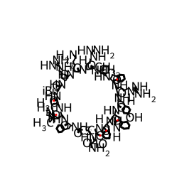 CC[C@H](C)C1NC(=O)C(C)(C)NC(=O)C(Cc2cncn2C)NC(=O)C(Cc2ccccc2)NC(=O)CSCC(C(=O)NCC(N)=O)NC(=O)C(Cc2ccc(O)cc2)NC(=O)C(Cc2c[nH]c3ccccc23)NC(=O)C(Cc2ccc(O)cc2)NC(=O)C(CCCNC(=N)N)NC(=O)C(Cc2ccccc2)NC(=O)C(C)(C)NC(=O)C(CCCNC(=N)N)NC(=O)C(CCCCN)NC(=O)C(CCCNC(=N)N)NC1=O